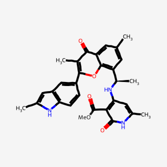 COC(=O)c1c(N[C@H](C)c2cc(C)cc3c(=O)c(C)c(-c4ccc5[nH]c(C)cc5c4)oc23)cc(C)[nH]c1=O